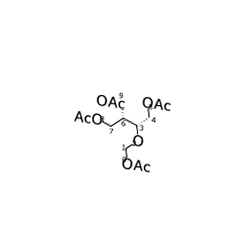 CC(=O)OCO[C@@H](COC(C)=O)[C@H](COC(C)=O)OC(C)=O